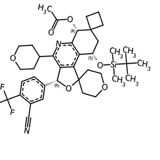 CC(=O)O[C@H]1c2nc(C3CCOCC3)c3c(c2[C@@H](O[Si](C)(C)C(C)(C)C)CC12CCC2)C1(CCOCC1)O[C@@H]3c1ccc(C(F)(F)F)c(C#N)c1